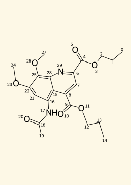 CCCOC(=O)c1cc(C(=O)OCCC)c2c(NC(C)=O)cc(OC)c(OC)c2n1